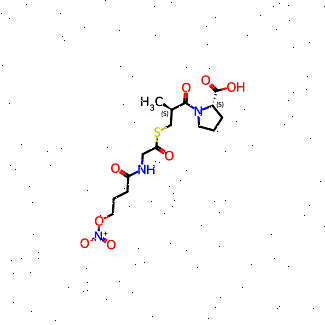 C[C@H](CSC(=O)CNC(=O)CCCO[N+](=O)[O-])C(=O)N1CCC[C@H]1C(=O)O